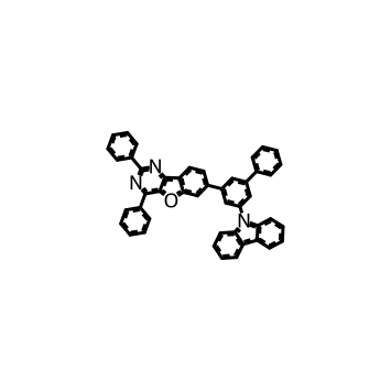 c1ccc(-c2cc(-c3ccc4c(c3)oc3c(-c5ccccc5)nc(-c5ccccc5)nc34)cc(-n3c4ccccc4c4ccccc43)c2)cc1